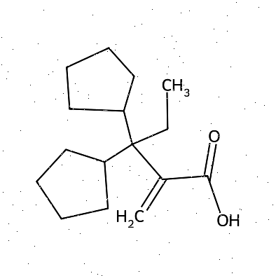 C=C(C(=O)O)C(CC)(C1CCCC1)C1CCCC1